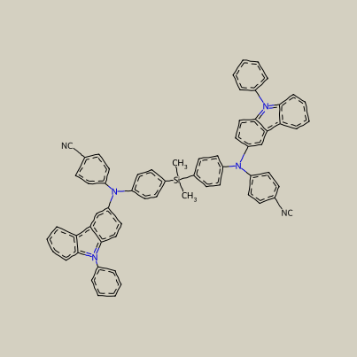 [C-]#[N+]c1ccc(N(c2ccc([Si](C)(C)c3ccc(N(c4ccc(C#N)cc4)c4ccc5c(c4)c4ccccc4n5-c4ccccc4)cc3)cc2)c2ccc3c(c2)c2ccccc2n3-c2ccccc2)cc1